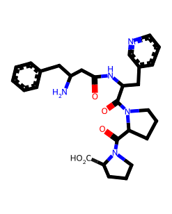 NC(CC(=O)NC(Cc1cccnc1)C(=O)N1CCCC1C(=O)N1CCCC1C(=O)O)Cc1ccccc1